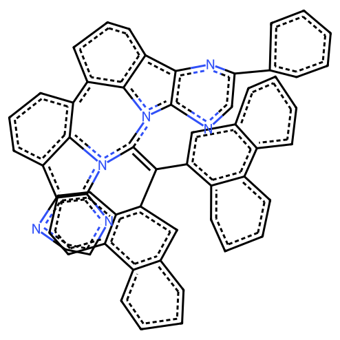 c1ccc(-c2cnc3c(n2)c2cccc4c5cccc6c7nccnc7n(c(=C(c7cc8ccccc8c8ccccc78)c7cc8ccccc8c8ccccc78)n3c42)c56)cc1